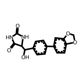 O=C1NC(=O)C(C(O)c2ccc(-c3ccc4c(c3)OCO4)cc2)N1